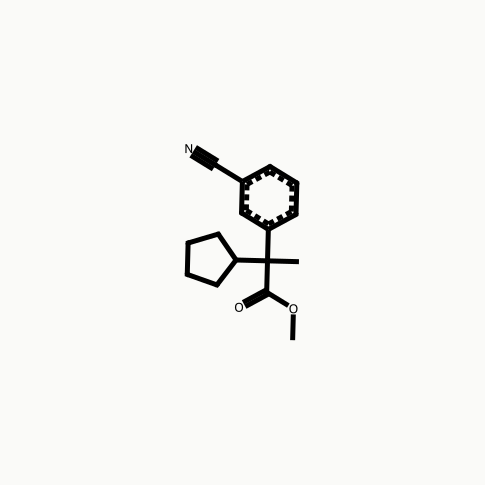 COC(=O)C(C)(c1cccc(C#N)c1)C1CCCC1